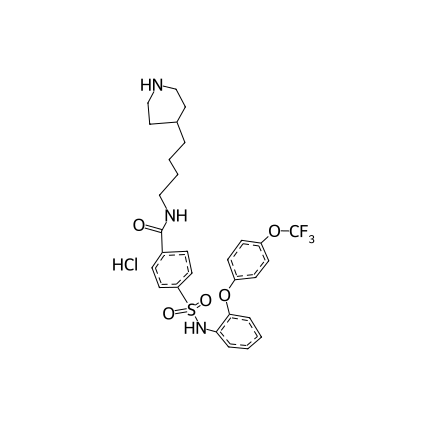 Cl.O=C(NCCCCC1CCNCC1)c1ccc(S(=O)(=O)Nc2ccccc2Oc2ccc(OC(F)(F)F)cc2)cc1